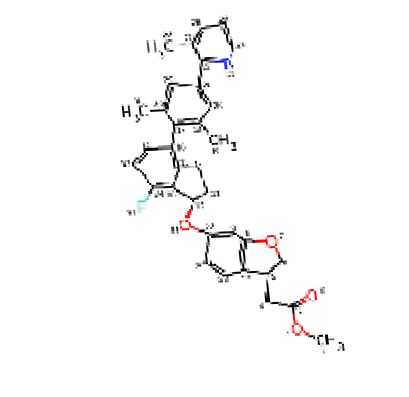 COC(=O)C[C@@H]1COc2cc(O[C@@H]3CCc4c(-c5c(C)cc(-c6ncccc6C)cc5C)ccc(F)c43)ccc21